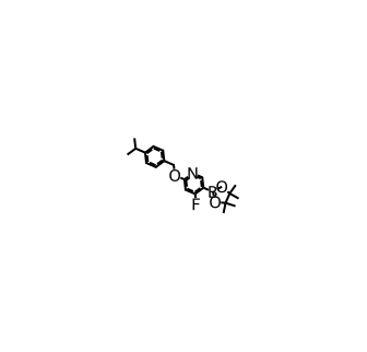 CC(C)c1ccc(COc2cc(F)c(B3OC(C)(C)C(C)(C)O3)cn2)cc1